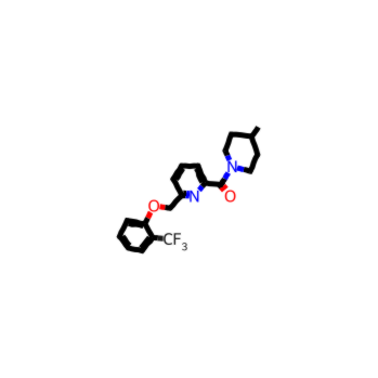 CC1CCN(C(=O)c2cccc(COc3ccccc3C(F)(F)F)n2)CC1